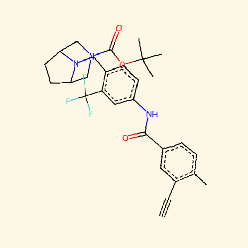 C#Cc1cc(C(=O)Nc2ccc(CN3C4CCC3CN(C(=O)OC(C)(C)C)C4)c(C(F)(F)F)c2)ccc1C